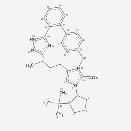 CCCCc1cn(C2CCCC2C(C)(C)C)c(=O)n1Cc1ccc(-c2ccccc2-c2nnn[nH]2)cn1